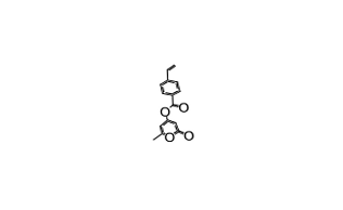 C=Cc1ccc(C(=O)Oc2cc(C)oc(=O)c2)cc1